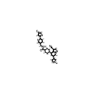 Cn1cc(-c2cc(C3CCC(C(=O)NCc4ccc(-n5cc(F)cn5)nc4)CC3)c3c(C#N)cnn3c2)cn1